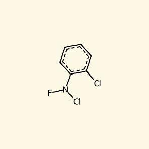 FN(Cl)c1ccccc1Cl